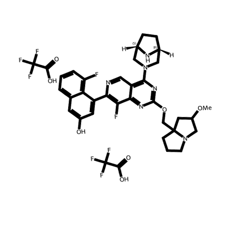 COC1CN2CCCC2(COc2nc(N3C[C@H]4CC[C@@H](C3)N4)c3cnc(-c4cc(O)cc5cccc(F)c45)c(F)c3n2)C1.O=C(O)C(F)(F)F.O=C(O)C(F)(F)F